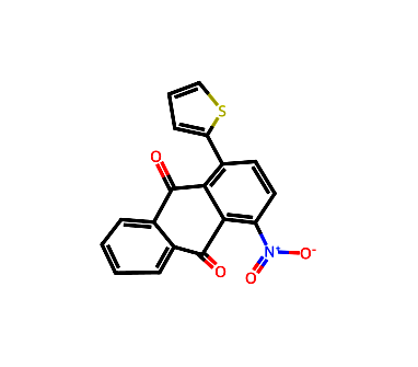 O=C1c2ccccc2C(=O)c2c([N+](=O)[O-])ccc(-c3cccs3)c21